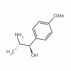 COc1ccc([C@@H](O)[C@H](C)N)cc1